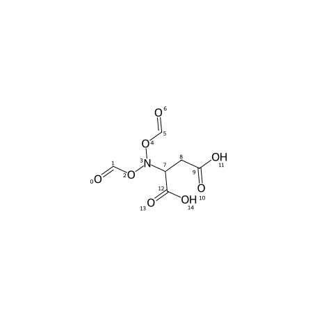 O=CON(OC=O)C(CC(=O)O)C(=O)O